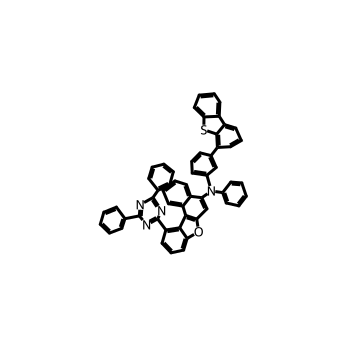 c1ccc(-c2nc(-c3ccccc3)nc(-c3cccc4oc5cc(N(c6ccccc6)c6cccc(-c7cccc8c7sc7ccccc78)c6)c6ccccc6c5c34)n2)cc1